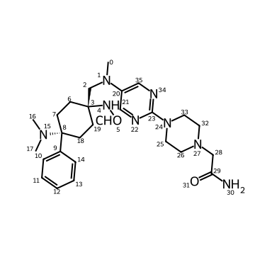 CN(C[C@]1(NC=O)CC[C@@](c2ccccc2)(N(C)C)CC1)c1cnc(N2CCN(CC(N)=O)CC2)nc1